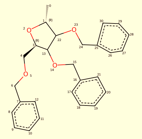 C[C@H]1O[C@H](COCc2ccccc2)C(OCc2ccccc2)C1OCc1ccccc1